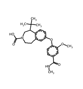 CNC(=O)c1ccc(Oc2ccc3c(c2)CCN(C(=O)O)CC3C(C)(C)C)c(OC)c1